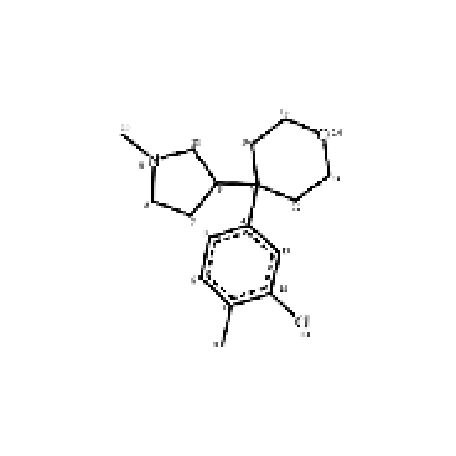 Cc1ccc(C2(C3CCN(C)C3)CCOCC2)cc1Cl